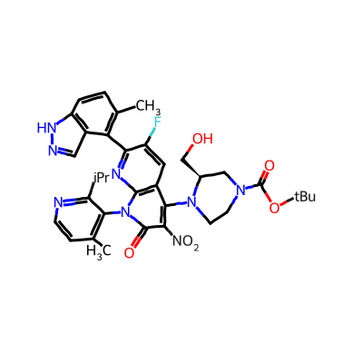 Cc1ccnc(C(C)C)c1-n1c(=O)c([N+](=O)[O-])c(N2CCN(C(=O)OC(C)(C)C)C[C@@H]2CO)c2cc(F)c(-c3c(C)ccc4[nH]ncc34)nc21